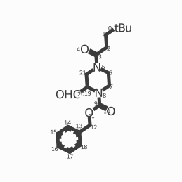 CC(C)(C)CCC(=O)N1CCN(C(=O)OCc2ccccc2)C(C=O)C1